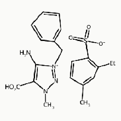 CCc1cc(C)ccc1S(=O)(=O)[O-].Cn1n[n+](Cc2ccccc2)c(N)c1C(=O)O